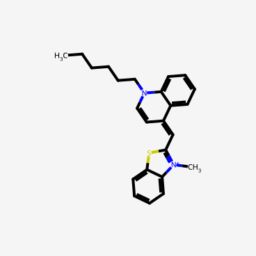 CCCCCCN1C=CC(=Cc2sc3ccccc3[n+]2C)c2ccccc21